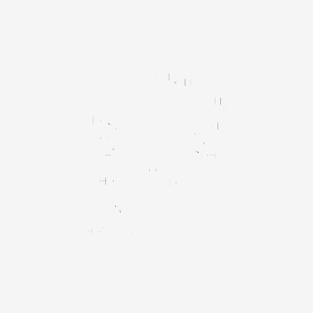 C=C[C@@H]1C(=O)C(C)(C)[C@@H](O)CC(=O)OC(/C(C)=C/c2csc(C)n2)C[C@@H]2O[C@]2(C)CCCC(C)C1O